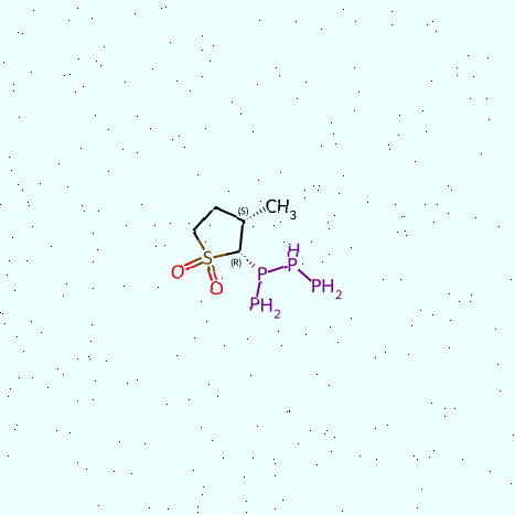 C[C@H]1CCS(=O)(=O)[C@H]1P(P)PP